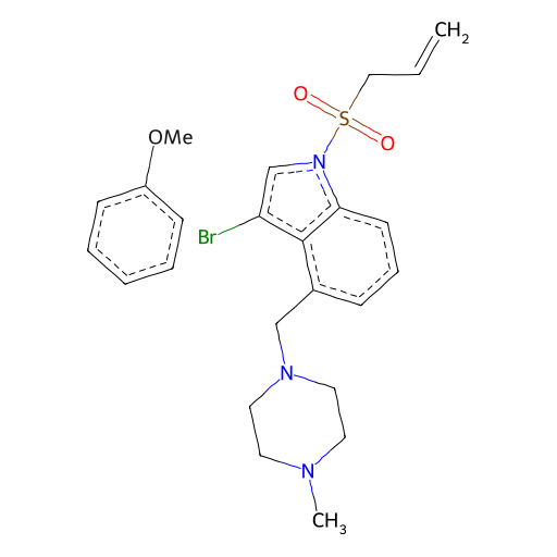 C=CCS(=O)(=O)n1cc(Br)c2c(CN3CCN(C)CC3)cccc21.COc1ccccc1